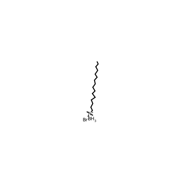 B.CCCCCCCCCCCCCCCC[N+](C)(C)C.[Br-]